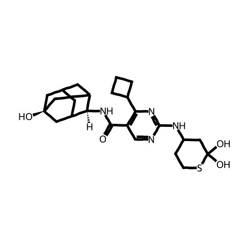 O=C(N[C@H]1C2CC3CC1C[C@@](O)(C3)C2)c1cnc(NC2CCSC(O)(O)C2)nc1C1CCC1